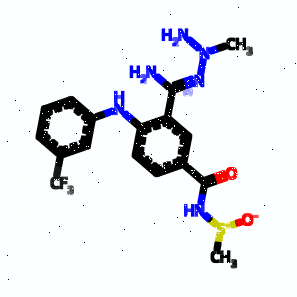 CN(N)/N=C(\N)c1cc(C(=O)N[S+](C)[O-])ccc1Nc1cccc(C(F)(F)F)c1